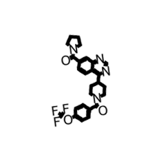 O=C(c1ccc2c(C3CCN(C(=O)c4ccc(OC(F)(F)F)cc4)CC3)ncnc2c1)N1CCCC1